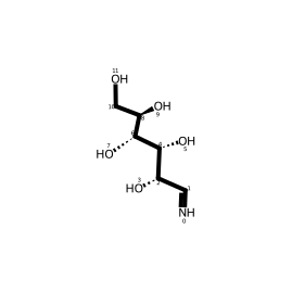 N=C[C@H](O)[C@@H](O)[C@H](O)[C@H](O)CO